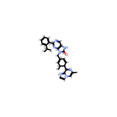 Cc1cn2ccnc2c(C2C=CC(Cn3c(=O)[nH]c4cnc(-c5ccccc5C(C)C)nc43)=CC2C)n1